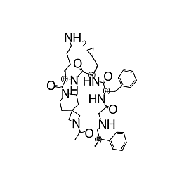 CC(=O)N1CC2(CCN(C(=O)[C@@H](CCCCN)NC(=O)[C@@H](CC3CC3)NC(=O)[C@@H](Cc3ccccc3)NC(=O)CNC[C@H](C)c3ccccc3)CC2)C1